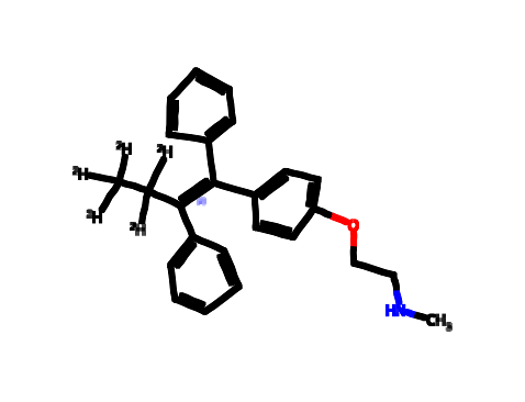 [2H]C([2H])([2H])C([2H])([2H])/C(=C(\c1ccccc1)c1ccc(OCCNC)cc1)c1ccccc1